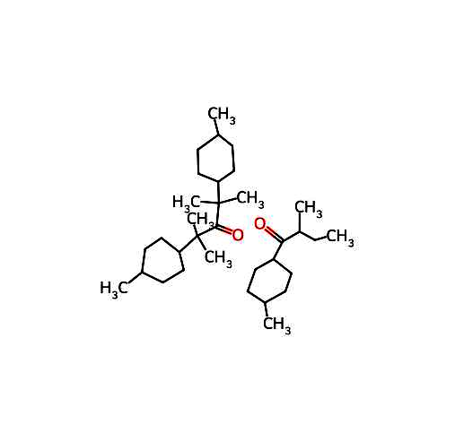 CC1CCC(C(C)(C)C(=O)C(C)(C)C2CCC(C)CC2)CC1.CCC(C)C(=O)C1CCC(C)CC1